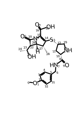 COc1ccc(CNC(=O)[C@@H]2C[C@H](SC3=C(C(=O)O)N4C(=O)[C@H]([C@@H](C)O)[C@H]4[C@H]3C)CN2)cc1